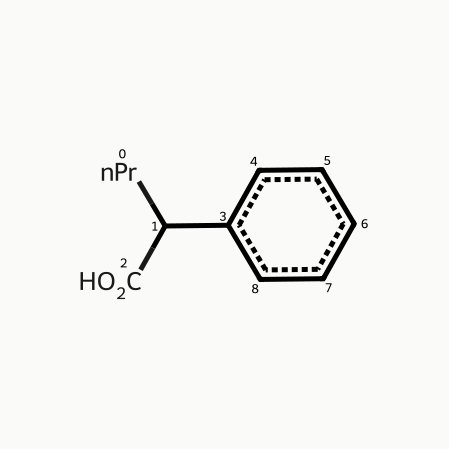 CCCC(C(=O)O)c1ccccc1